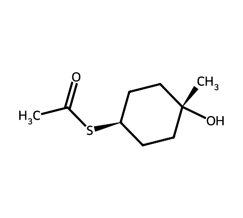 CC(=O)S[C@H]1CC[C@](C)(O)CC1